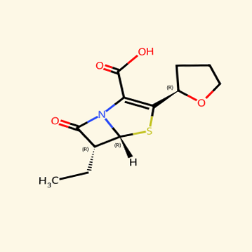 CC[C@@H]1C(=O)N2C(C(=O)O)=C([C@H]3CCCO3)S[C@H]12